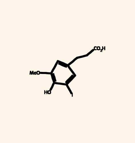 COc1cc(CCC(=O)O)cc(I)c1O